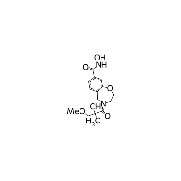 COCC(C)(C)C(=O)N1CCOc2cc(C(=O)NO)ccc2C1